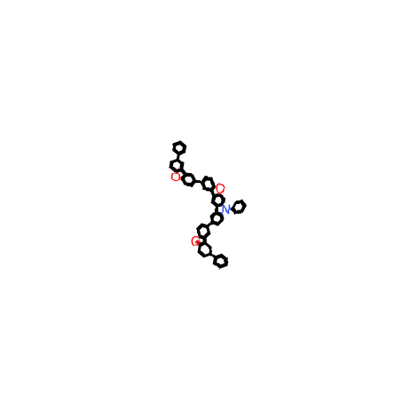 C1=CC(c2ccccc2)Cc2c1oc1ccc(-c3ccc4c(c3)c3cc5c(cc3n4-c3ccccc3)oc3ccc(-c4ccc6oc7ccc(-c8ccccc8)cc7c6c4)cc35)cc21